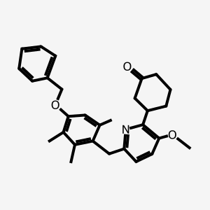 COc1ccc(Cc2c(C)cc(OCc3ccccc3)c(C)c2C)nc1C1CCCC(=O)C1